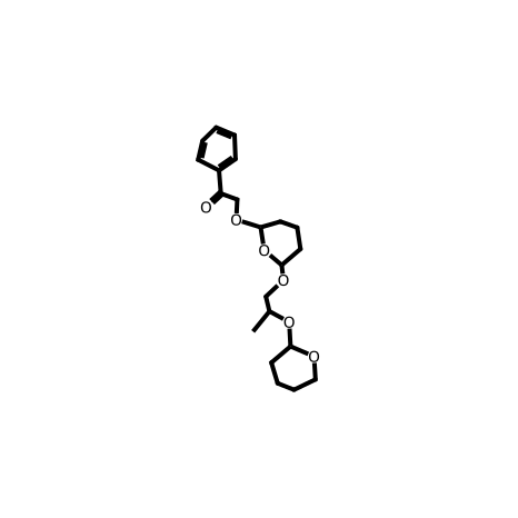 CC(COC1CCCC(OCC(=O)c2ccccc2)O1)OC1CCCCO1